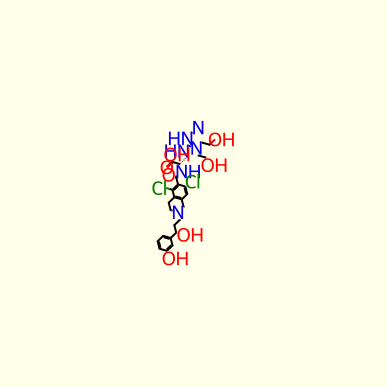 N#CNC(NC[C@H](NC(=O)c1c(Cl)cc2c(c1Cl)CCN(CCC(O)c1cccc(O)c1)C2)C(=O)O)N(CCO)CCO